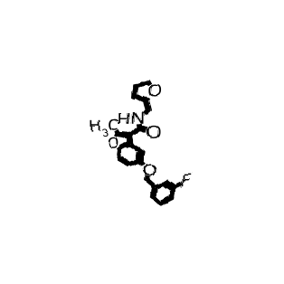 Cc1oc2ccc(OCc3cccc(F)c3)cc2c1C(=O)NCC1CCCO1